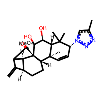 C=C1C2C(=O)[C@]34[C@H]2[C@H]1CC[C@H]3[C@]1(C)C=C[C@@H](n2cc(C)nn2)C(C)(C)[C@H]1[C@H](O)[C@@]4(O)OC